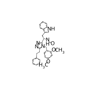 COc1ccc(Cn2c(CCc3ccccc3)nnc2[C@@H](Cc2c[nH]c3ccccc23)NC=O)c(OC)c1